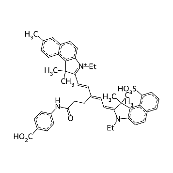 CCN1/C(=C/C=C(/C=C/C2=[N+](CC)c3ccc4cc(C)ccc4c3C2(C)C)CCC(=O)Nc2ccc(C(=O)O)cc2)C(C)(C)c2c1ccc1cccc(S(=O)(=O)O)c21